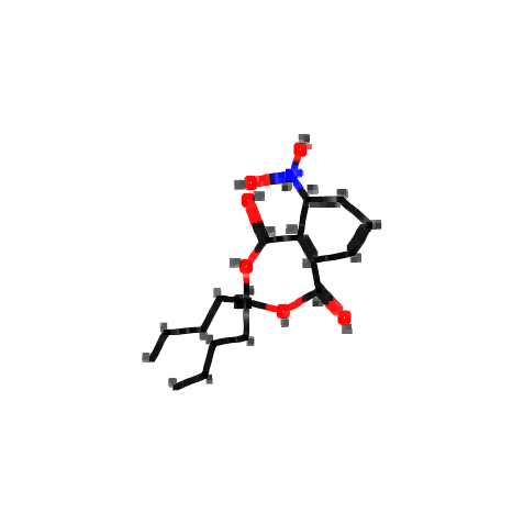 CCC[CH2][Sn]1([CH2]CCC)[O]C(=O)c2cccc([N+](=O)[O-])c2C(=O)[O]1